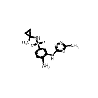 Cc1nsc(Nc2cc(S(=O)(=O)NC3(C)CC3)ccc2N)n1